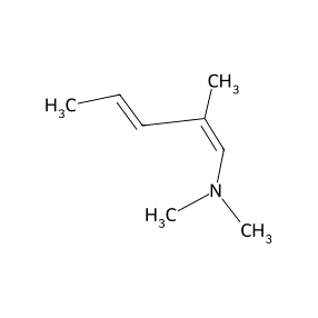 CC=C/C(C)=C\N(C)C